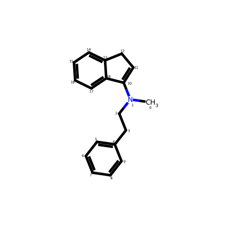 CN(CCc1ccccc1)C1=CCc2ccccc21